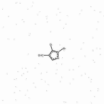 CCc1c(C=O)cnn1C(C)C